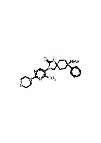 CN[C@]1(c2ccccc2)CC[C@@]2(CC1)CN(c1cnc(N3CCOCC3)nc1C)C(=O)N2